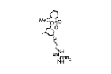 COc1ccccc1S(=O)(=O)Oc1cc(C)cc(OCCCNNC(=N)N)c1